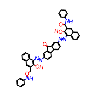 O=C1c2cc(N=Nc3c(O)c(CONc4ccccc4)cc4ccccc34)ccc2-c2ccc(N=Nc3c(O)c(C(=O)Nc4ccccc4)cc4ccccc34)cc21